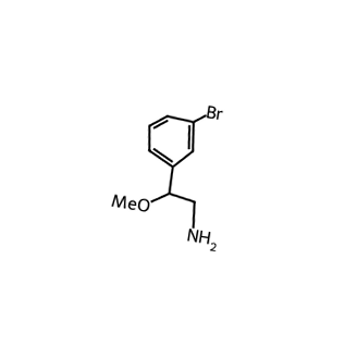 COC(CN)c1cccc(Br)c1